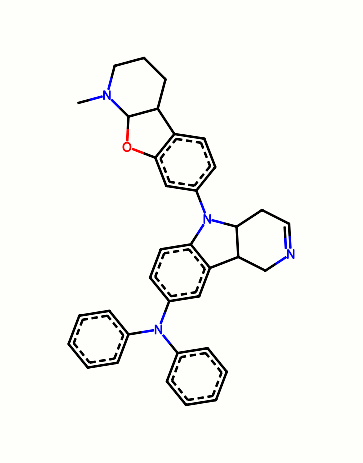 CN1CCCC2c3ccc(N4c5ccc(N(c6ccccc6)c6ccccc6)cc5C5CN=CCC54)cc3OC21